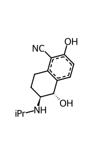 CC(C)N[C@H]1CCc2c(ccc(O)c2C#N)[C@@H]1O